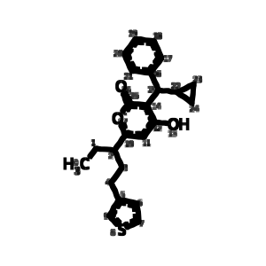 CCC(CCc1ccsc1)c1cc(O)c(C(c2ccccc2)C2CC2)c(=O)o1